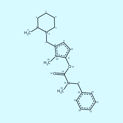 CC1CCCCN1Cc1ccc(OC(=O)N(C)Cc2ccccc2)n1C